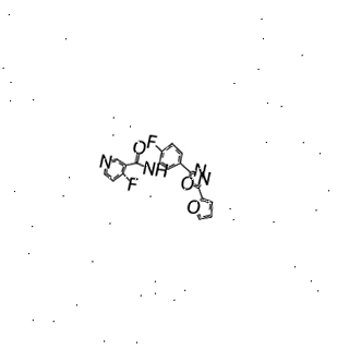 O=C(Nc1cc(-c2nnc(-c3ccco3)o2)ccc1F)c1cnccc1F